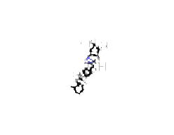 Cc1cccc(C)c1CS(=O)(=O)c1ccc2c(c1)S/C(=C/c1ccc(Cl)c([N+](=O)[O-])c1)C(=O)N2